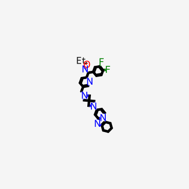 CCON=C(c1ccc(F)c(F)c1)c1ccc(CN2CC3(C2)CN(c2ccn4c5c(nc4c2)CCCC5)C3)cn1